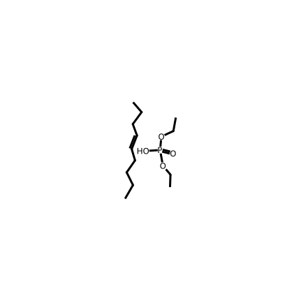 CCCC=CCCCC.CCOP(=O)(O)OCC